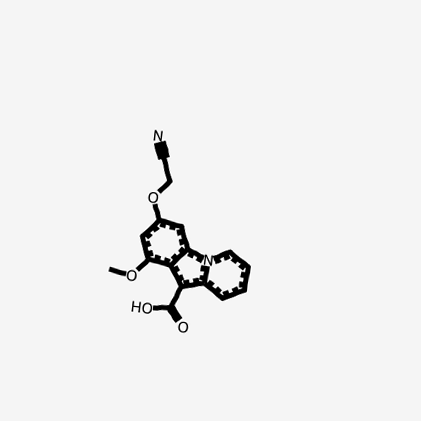 COc1cc(OCC#N)cc2c1c(C(=O)O)c1ccccn12